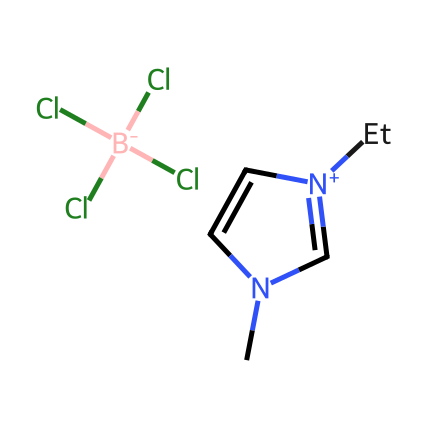 CC[n+]1ccn(C)c1.Cl[B-](Cl)(Cl)Cl